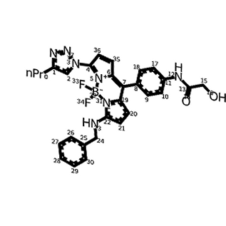 CCCc1cn(C2=[N+]3C(=C(c4ccc(NC(=O)CO)cc4)c4ccc(NCc5ccccc5)n4[B-]3(F)F)C=C2)nn1